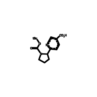 CC(C)(C)OC(=O)N1CCCC1c1ccc(C(=O)O)cn1